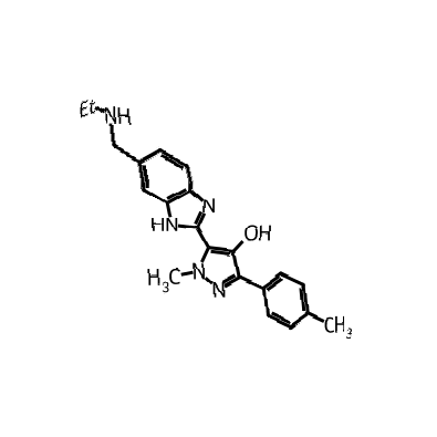 CCNCc1ccc2nc(-c3c(O)c(-c4ccc(C)cc4)nn3C)[nH]c2c1